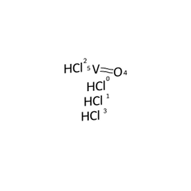 Cl.Cl.Cl.Cl.[O]=[V]